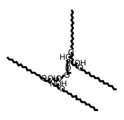 CCCCCCCCCCCCCCCCOCC(O)CN(CC(O)COCCCCCCCCCCCCCCCC)C(C)COCCOC(C)COCC(C)N(CC(O)COCCCCCCCCCCCCCCCC)CC(O)COCCCCCCCCCCCCCCCC